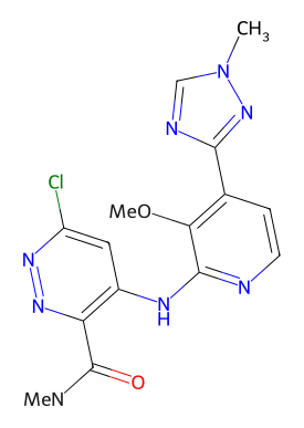 CNC(=O)c1nnc(Cl)cc1Nc1nccc(-c2ncn(C)n2)c1OC